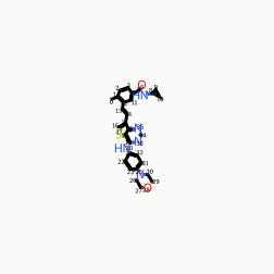 Cc1ccc(C(=O)NC2CC2)cc1C=Cc1csc2c(Nc3ccc(N4CCOCC4)cc3)ncnc12